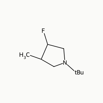 CC1CN(C(C)(C)C)CC1F